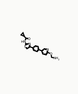 NCOc1ccc(-c2ccc(-c3csc(NC(=O)C4CC4)n3)cc2)cn1